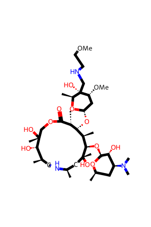 COCCNC[C@]1(O)[C@H](C)O[C@@H](O[C@@H]2[C@@H](C)[C@@H](O[C@@H]3O[C@H](C)C[C@H](N(C)C)[C@H]3O)[C@](C)(O)C[C@@H](C)NC[C@@H](C)[C@H](O)[C@](C)(O)COC(=O)[C@@H]2C)C[C@H]1OC